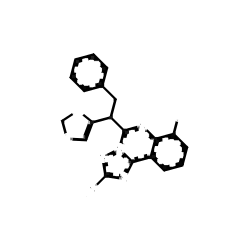 Nc1nc2c3cccc(O)c3nc(C(Cc3ccccc3)C3=COCO3)n2n1